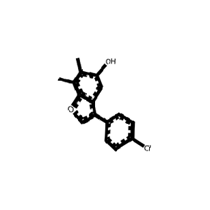 Cc1c(O)cc2c(-c3ccc(Cl)cc3)coc2c1C